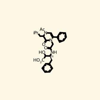 CC(=O)N1C=C(c2ccccc2)N(CC(=O)N[C@@H](Cc2ccccc2)C(O)C(=O)O)C(=O)C1CC(C)C